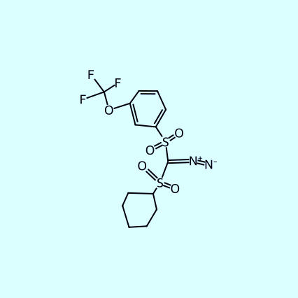 [N-]=[N+]=C(S(=O)(=O)c1cccc(OC(F)(F)F)c1)S(=O)(=O)C1CCCCC1